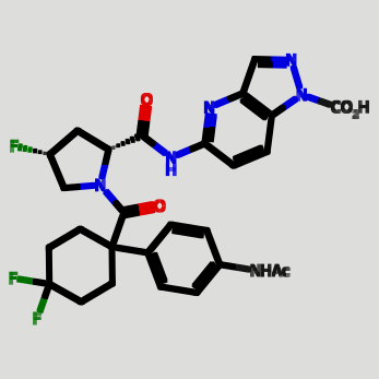 CC(=O)Nc1ccc(C2(C(=O)N3C[C@H](F)C[C@@H]3C(=O)Nc3ccc4c(cnn4C(=O)O)n3)CCC(F)(F)CC2)cc1